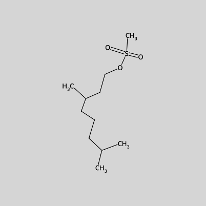 CC(C)CCCC(C)CCOS(C)(=O)=O